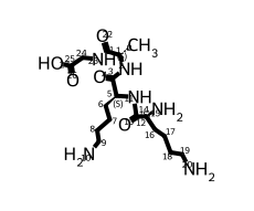 C[C@H](NC(=O)[C@H](CCCCN)NC(=O)[C@@H](N)CCCCN)C(=O)NCC(=O)O